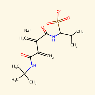 C=C(C(=C)C(=O)NC(C)(C)C)C(=O)NC(C(C)C)S(=O)(=O)[O-].[Na+]